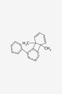 CC12C=CC=CC1(C)c1c(-c3ccccc3)cccc12